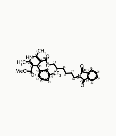 COC(=O)C1=C(C)NC(C)=C(C(=O)OCCCCCCN2C(=O)c3ccccc3C2=O)C1c1cccc(C(F)(F)F)c1